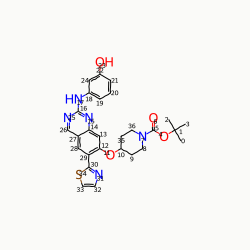 CC(C)(C)OC(=O)N1CCC(Oc2cc3nc(Nc4cccc(O)c4)ncc3cc2-c2nccs2)CC1